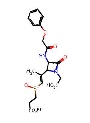 CCOC(=O)CC[S+]([O-])C=C(C)C1C(NC(=O)COc2ccccc2)C(=O)N1CC(=O)O